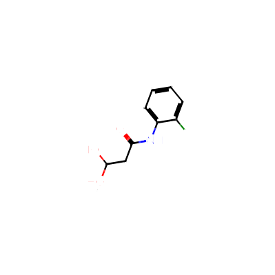 O=C(CC(O)O)Nc1ccccc1F